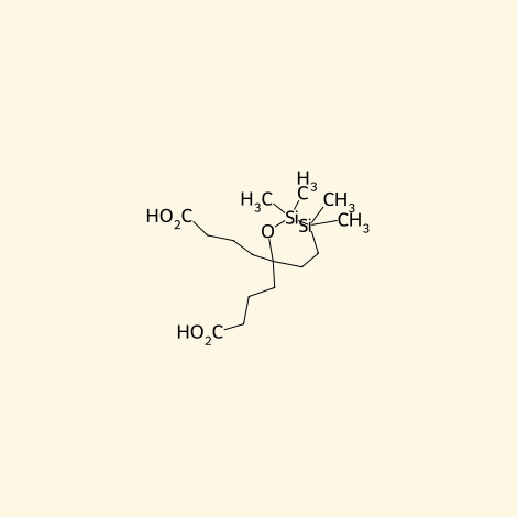 C[Si]1(C)CCC(CCCC(=O)O)(CCCC(=O)O)O[Si]1(C)C